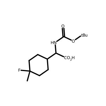 CC1(F)CCC(C(NC(=O)OC(C)(C)C)C(=O)O)CC1